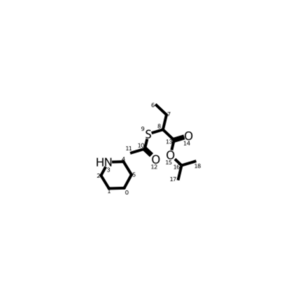 C1CCNCC1.CCC(SC(C)=O)C(=O)OC(C)C